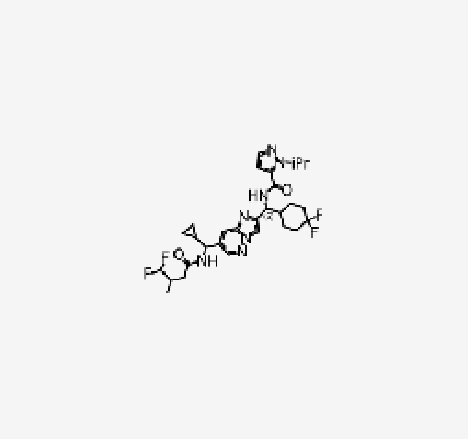 CC(CC(=O)NC(c1cnn2cc([C@@H](NC(=O)c3ccnn3C(C)C)C3CCC(F)(F)CC3)nc2c1)C1CC1)C(F)F